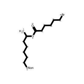 CCCCCCCCCCCCCCC(C)OC(=O)CCCCCBr